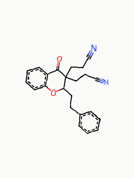 N#CCCC1(CCC#N)C(=O)c2ccccc2OC1CCc1ccccc1